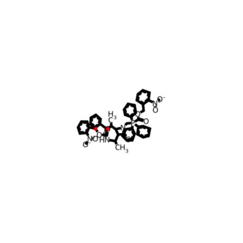 CC(NC(=O)OCc1ccccc1[N+](=O)[O-])C1C(=O)N(CP(C(=O)OCc2ccccc2[N+](=O)[O-])(c2ccccc2)(c2ccccc2)c2ccccc2)C1C(C)C(=S)c1ccccc1